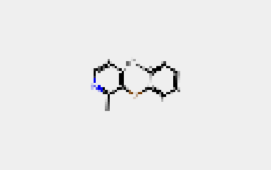 Cc1ncccc1Sc1ccccc1[N+](=O)[O-]